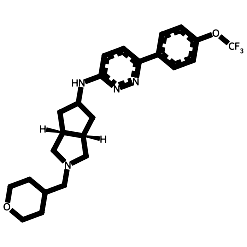 FC(F)(F)Oc1ccc(-c2ccc(NC3C[C@@H]4CN(CC5CCOCC5)C[C@@H]4C3)nn2)cc1